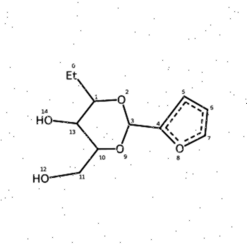 CCC1OC(c2ccco2)OC(CO)C1O